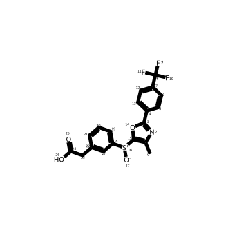 Cc1nc(-c2ccc(C(F)(F)F)cc2)oc1[S+]([O-])c1cccc(CC(=O)O)c1